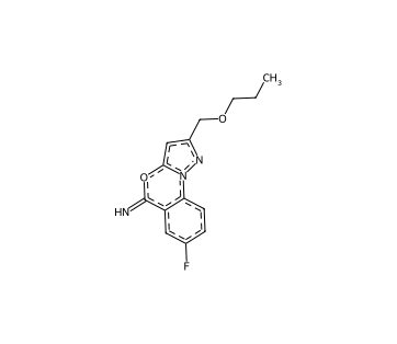 CCCOCc1cc2oc(=N)c3cc(F)ccc3n2n1